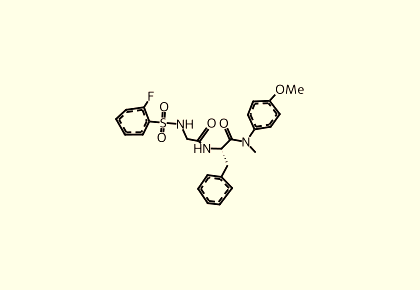 COc1ccc(N(C)C(=O)[C@H](Cc2ccccc2)NC(=O)CNS(=O)(=O)c2ccccc2F)cc1